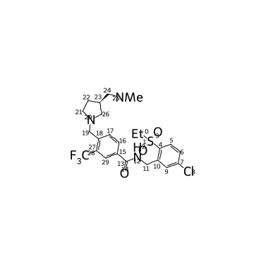 CCS(=O)(=O)c1ccc(Cl)cc1CNC(=O)c1ccc(CN2CC[C@@H](CNC)C2)c(C(F)(F)F)c1